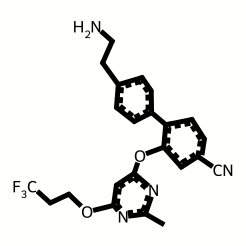 Cc1nc(OCCC(F)(F)F)cc(Oc2cc(C#N)ccc2-c2ccc(CCN)cc2)n1